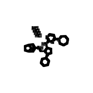 Cl.Cl.Cl.Cl.c1cc(N2CCCCCC2)nc(N[C@H]2CCN(C3CCCCC3)[C@@H]2CNC2CC3CCC(C2)N3)n1